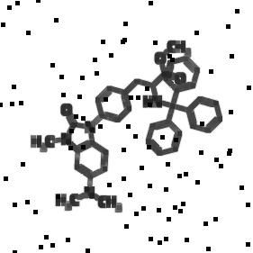 COC(=O)C(Cc1ccc(-n2c(=O)n(C)c3cc(N(C)C)ccc32)cc1)NC(c1ccccc1)(c1ccccc1)c1ccccc1